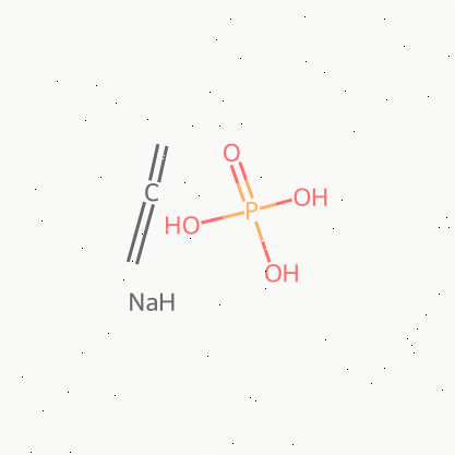 C=C=C.O=P(O)(O)O.[NaH]